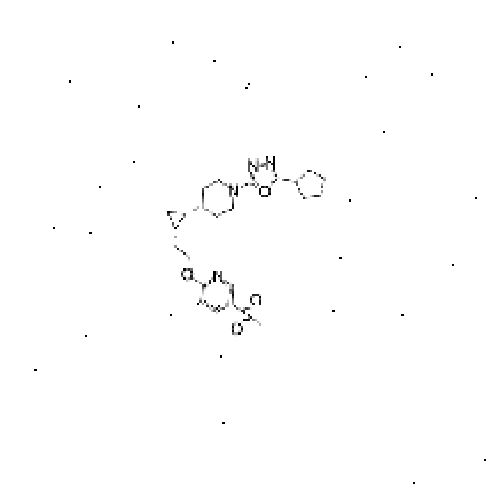 CS(=O)(=O)c1ccc(OCC[C@@H]2C[C@@H]2C2CCN(c3nnc(C4CCCC4)o3)CC2)nc1